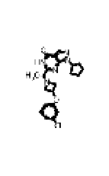 C[C@H](c1nc2c(cnn2C2CCCC2)c(=O)[nH]1)N1CC(Oc2cccc(Cl)c2)C1